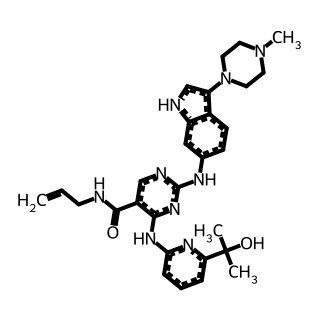 C=CCNC(=O)c1cnc(Nc2ccc3c(N4CCN(C)CC4)c[nH]c3c2)nc1Nc1cccc(C(C)(C)O)n1